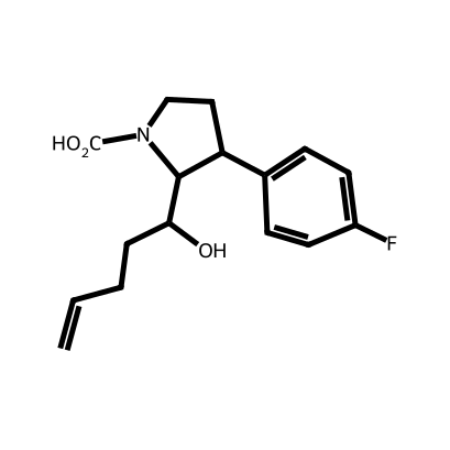 C=CCCC(O)C1C(c2ccc(F)cc2)CCN1C(=O)O